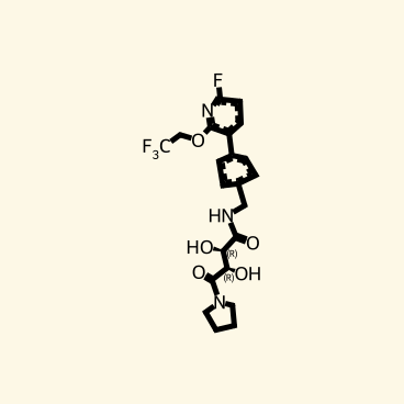 O=C(NCc1ccc(-c2ccc(F)nc2OCC(F)(F)F)cc1)[C@H](O)[C@@H](O)C(=O)N1CCCC1